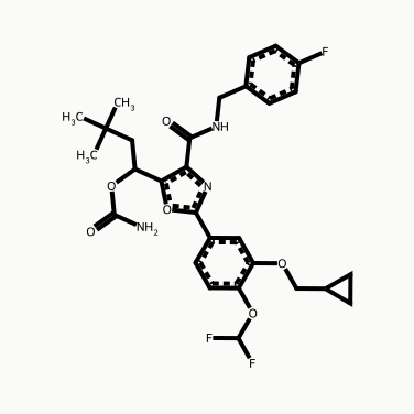 CC(C)(C)CC(OC(N)=O)c1oc(-c2ccc(OC(F)F)c(OCC3CC3)c2)nc1C(=O)NCc1ccc(F)cc1